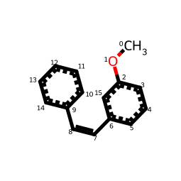 COc1cccc(/C=C\c2ccccc2)c1